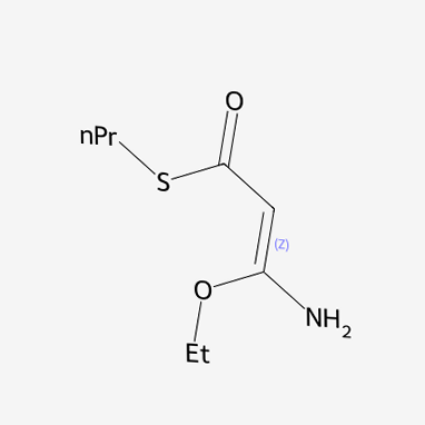 CCCSC(=O)/C=C(/N)OCC